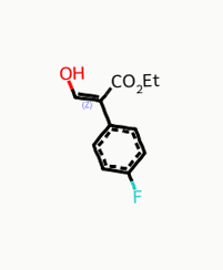 CCOC(=O)/C(=C\O)c1ccc(F)cc1